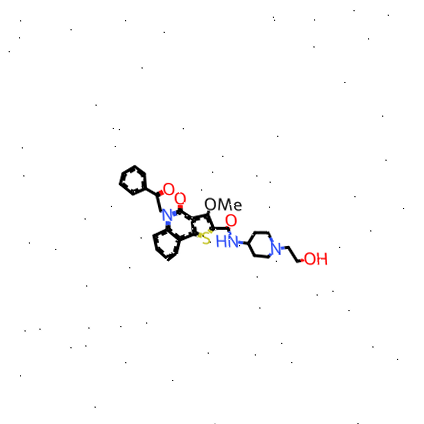 COc1c(C(=O)NC2CCN(CCO)CC2)sc2c1c(=O)n(CC(=O)c1ccccc1)c1ccccc21